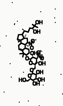 C[C@H](CC[C@@H](O)C(C)(C)O)C1CC[C@@]2(C)C3CC=C4C(CC[C@H](O[C@@H]5O[C@H](CO[C@@H]6O[C@H](CO)[C@@H](O)[C@H](O)[C@H]6O)[C@@H](O)[C@H]([N+](=O)[O-])[C@H]5O)C4(C)C)[C@]3(C)[C@H]([N+](=O)[O-])C[C@]12C